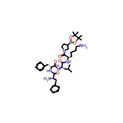 CC(C)C[C@@H](NC(=O)[C@@H](Cc1ccccc1)NC(=O)[C@H](N)Cc1ccccc1)C(=O)N[C@H](CCCCN)C(=O)N1CCC(B2OC(C)(C)C(C)(C)O2)C1